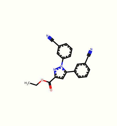 CCOC(=O)c1cc(-c2cccc(C#N)c2)n(-c2cccc(C#N)c2)n1